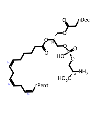 CCCCC/C=C\C/C=C\C/C=C\CCCCC(=O)O[C@H](COC(=O)CCCCCCCCCCC)COP(=O)(O)OC[C@H](N)C(=O)O